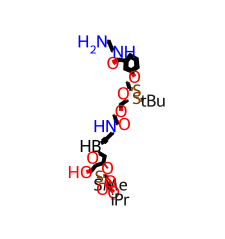 CSS[C@H](OC(=O)OC(C)C)O[C@@H]1C[C@H](BC#CCNC(=O)COCCOC(COc2cccc(C(=O)NCCN)c2)SSC(C)(C)C)OC1CO